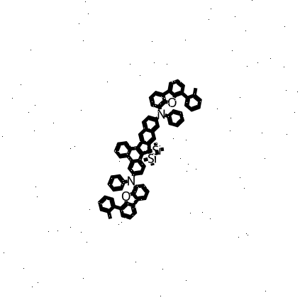 Cc1ccccc1-c1cccc2c1oc1c(N(c3ccccc3)c3ccc4cc5c(cc4c3)C([Si](C)(C)C)([Si](C)(C)C)c3c-5c4ccccc4c4cc(N(c5ccccc5)c5cccc6c5oc5c(-c7ccccc7C)cccc56)ccc34)cccc12